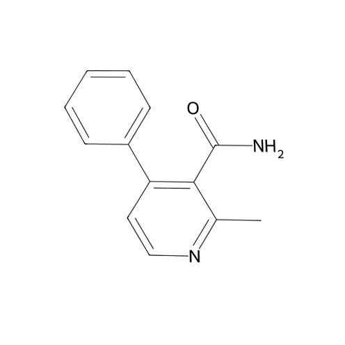 Cc1nccc(-c2ccccc2)c1C(N)=O